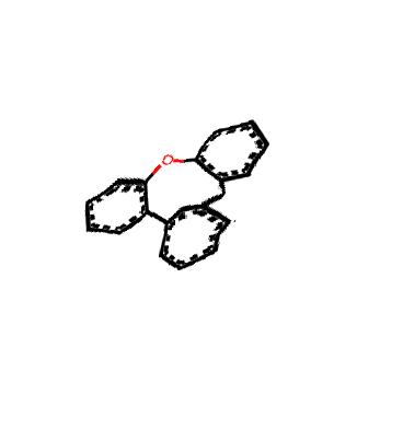 [c]1cccc2c1-c1ccccc1Oc1ccccc1-2